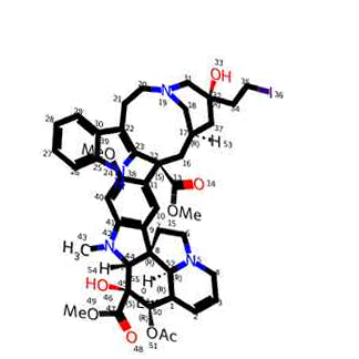 CC[C@]12C=CCN3CC[C@@]4(c5cc([C@@]6(C(=O)OC)C[C@H]7CN(CCc8c6[nH]c6ccccc86)C[C@](O)(CCI)C7)c(OC)cc5N(C)[C@H]4[C@@](O)(C(=O)OC)[C@@H]1OC(C)=O)[C@@H]32